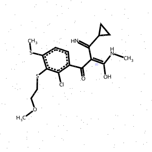 CN/C(O)=C(\C(=N)C1CC1)C(=O)c1ccc(SC)c(SCCOC)c1Cl